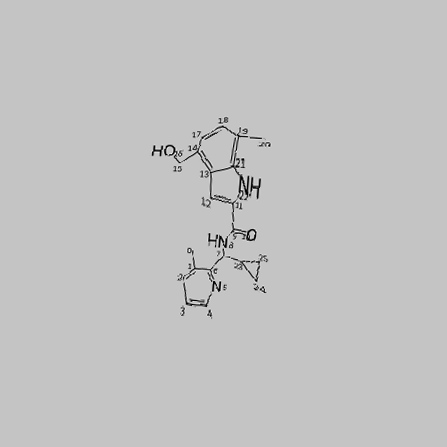 Cc1cccnc1C(NC(=O)c1cc2c(CO)ccc(C)c2[nH]1)C1CC1